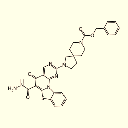 NNC(=O)c1c(=O)c2cnc(N3CCC4(CCN(C(=O)OCc5ccccc5)CC4)C3)nc2n2c1sc1ccccc12